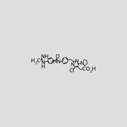 CC(=N)Nc1ccc(C(=O)Nc2ccc(Cc3nc(Cl)c(CC(=O)O)c(N4CCCC4)n3)cc2)cc1